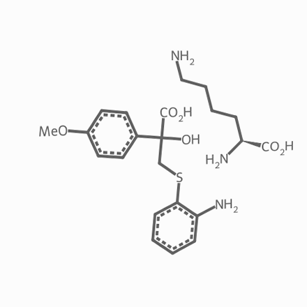 COc1ccc(C(O)(CSc2ccccc2N)C(=O)O)cc1.NCCCC[C@H](N)C(=O)O